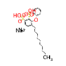 CCCCCCCCCCc1ccc(S(=O)(=O)O)c(S(=O)(=O)O)c1Oc1ccccc1.[Na].[Na]